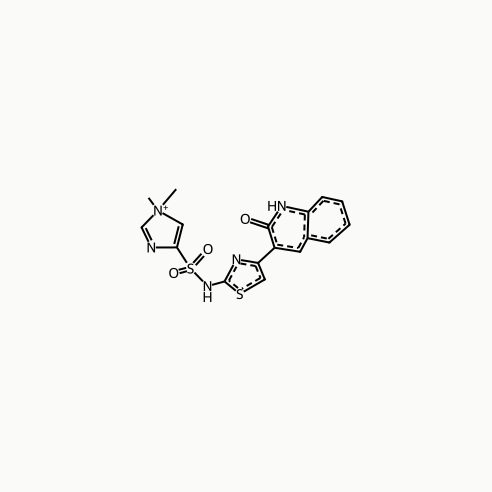 C[N+]1(C)C=NC(S(=O)(=O)Nc2nc(-c3cc4ccccc4[nH]c3=O)cs2)=C1